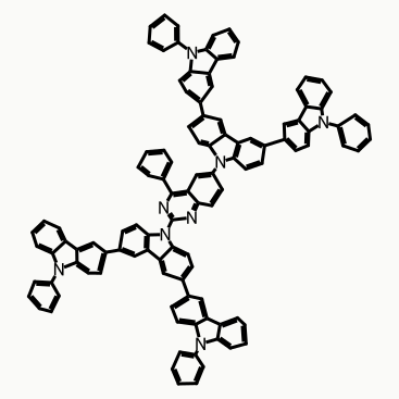 c1ccc(-c2nc(-n3c4ccc(-c5ccc6c(c5)c5ccccc5n6-c5ccccc5)cc4c4cc(-c5ccc6c(c5)c5ccccc5n6-c5ccccc5)ccc43)nc3ccc(-n4c5ccc(-c6ccc7c(c6)c6ccccc6n7-c6ccccc6)cc5c5cc(-c6ccc7c(c6)c6ccccc6n7-c6ccccc6)ccc54)cc23)cc1